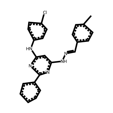 Cc1ccc(C=NNc2cc(Nc3ccc(Cl)cc3)nc(-c3ccccc3)n2)cc1